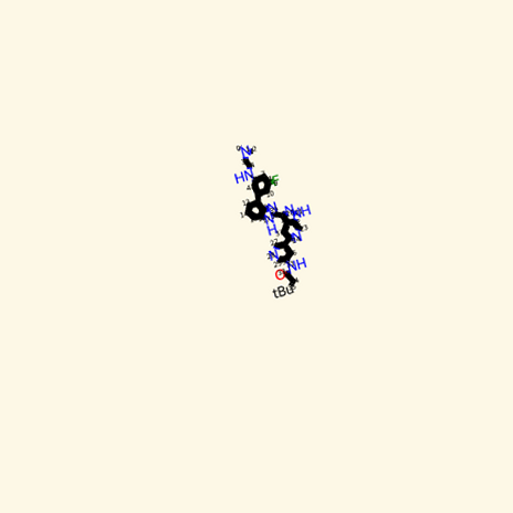 CN(C)CCNc1cc(F)cc(-c2cccc3[nH]c(-c4n[nH]c5cnc(-c6cncc(NC(=O)CC(C)(C)C)c6)cc45)nc23)c1